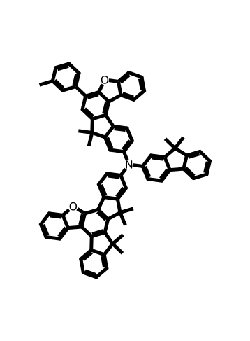 Cc1cccc(-c2cc3c(c4c2oc2ccccc24)-c2ccc(N(c4ccc5c(c4)C(C)(C)c4ccccc4-5)c4ccc5c(c4)C(C)(C)c4c6c(c7c(oc8ccccc87)c4-5)-c4ccccc4C6(C)C)cc2C3(C)C)c1